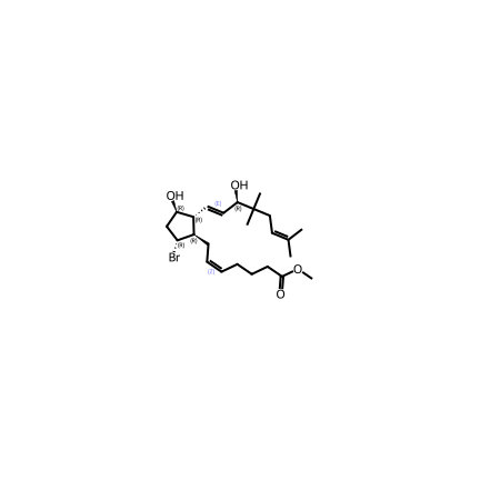 COC(=O)CCC/C=C\C[C@@H]1[C@@H](/C=C/[C@@H](O)C(C)(C)CC=C(C)C)[C@H](O)C[C@H]1Br